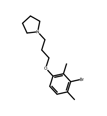 Cc1ccc(OCCCN2CCCC2)c(C)c1Br